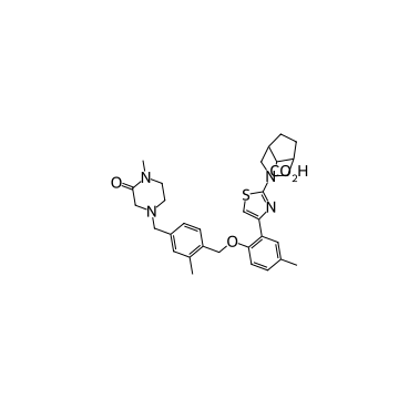 Cc1ccc(OCc2ccc(CN3CCN(C)C(=O)C3)cc2C)c(-c2csc(N3CC4CCC(C3)C4C(=O)O)n2)c1